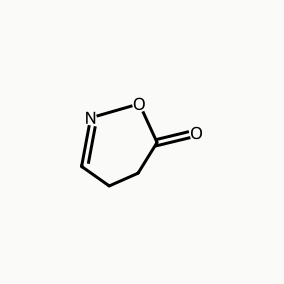 O=C1CCC=NO1